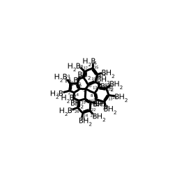 BC1=C(B)C(B)C(C(c2c(B)c(B)c(B)c(B)c2B)(c2c(B)c(B)c(B)c(B)c2B)c2c(B)c(B)c(B)c(B)c2B)=C1B